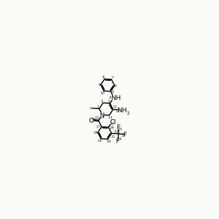 CC1CC(Nc2ccccc2)=C(N)CN1C(=O)c1cccc(C(F)(F)F)c1Cl